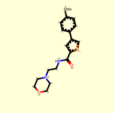 CSc1ccc(-c2csc(C(=O)NCCN3CCOCC3)c2)cc1